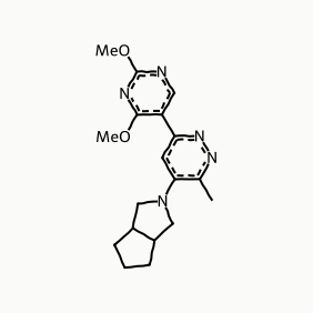 COc1ncc(-c2cc(N3CC4CCCC4C3)c(C)nn2)c(OC)n1